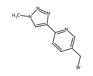 Cn1cc(-c2ccc(CBr)cn2)nn1